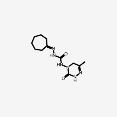 CC1=NNC(=O)N(NC(=O)NN=C2CCCCCC2)C1